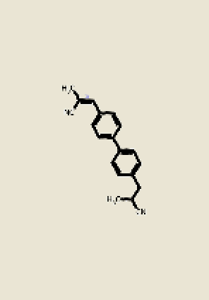 C/C(C#N)=C/c1ccc(-c2ccc(CC(C)C#N)cc2)cc1